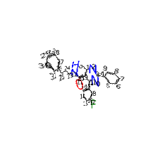 Cc1nc(-c2ccccc2)nc(-c2cccc(F)c2)c1C(=O)NCCCc1ccccc1